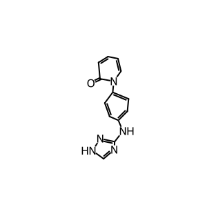 O=c1ccccn1-c1ccc(Nc2nc[nH]n2)cc1